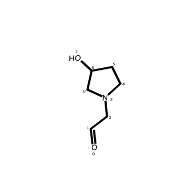 O=CCN1CCC(O)C1